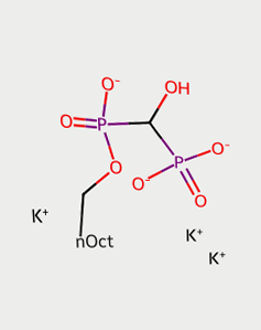 CCCCCCCCCOP(=O)([O-])C(O)P(=O)([O-])[O-].[K+].[K+].[K+]